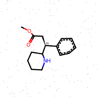 COC(=O)C[C@@H](c1ccccc1)C1CCCCN1